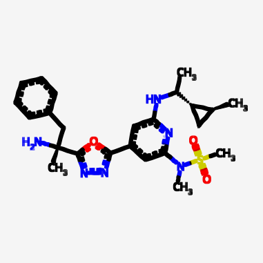 CC(Nc1cc(-c2nnc([C@](C)(N)Cc3ccccc3)o2)cc(N(C)S(C)(=O)=O)n1)[C@H]1C[C@@H]1C